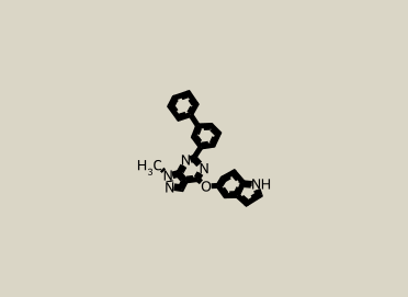 Cn1ncc2c(Oc3ccc4[nH]ccc4c3)nc(-c3cccc(-c4ccccc4)c3)nc21